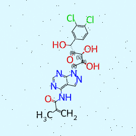 C=C(C)C(=O)Nc1ncnc2c1cnn2[C@@H]1O[C@H](C(O)c2ccc(Cl)c(Cl)c2)[C@@H](O)[C@H]1O